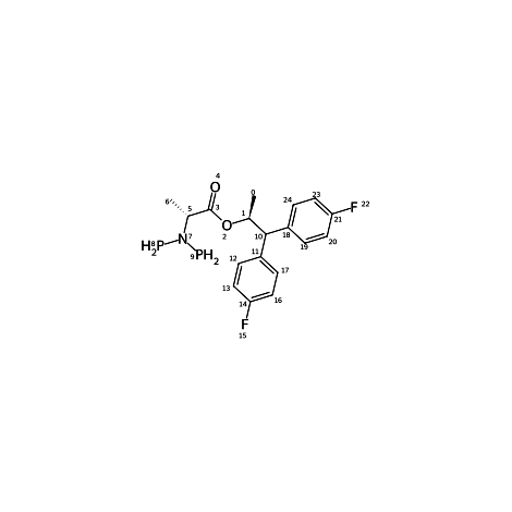 C[C@H](OC(=O)[C@@H](C)N(P)P)C(c1ccc(F)cc1)c1ccc(F)cc1